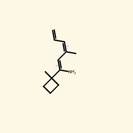 C=C/C=C(C)\C=C(/N)C1(C)CCC1